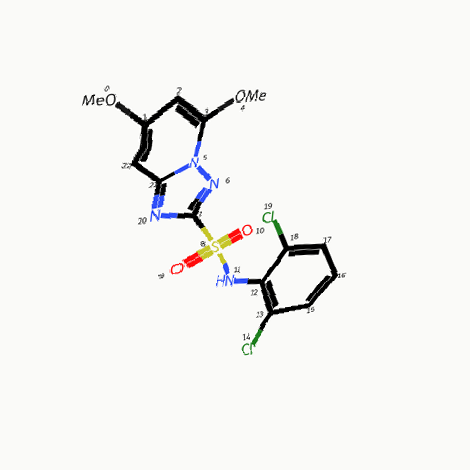 COc1cc(OC)n2nc(S(=O)(=O)Nc3c(Cl)cccc3Cl)nc2c1